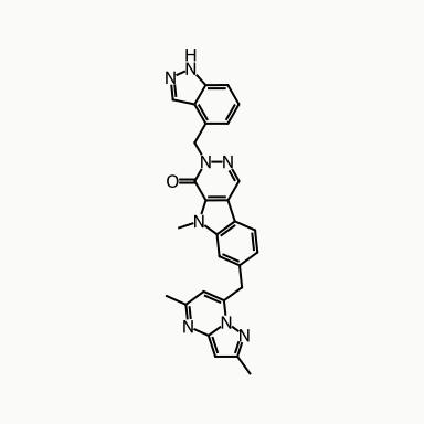 Cc1cc(Cc2ccc3c4cnn(Cc5cccc6[nH]ncc56)c(=O)c4n(C)c3c2)n2nc(C)cc2n1